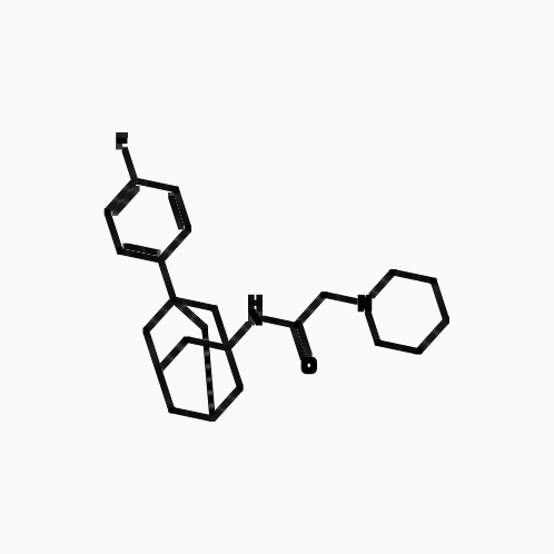 O=C(CN1CCCCC1)NC12CC3CC(C1)CC(c1ccc(F)cc1)(C3)C2